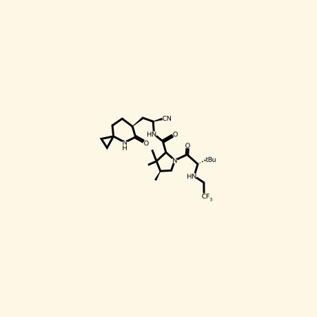 C[C@@H]1CN(C(=O)[C@@H](NCC(F)(F)F)C(C)(C)C)C(C(=O)N[C@H](C#N)C[C@@H]2CCC3(CC3)NC2=O)C1(C)C